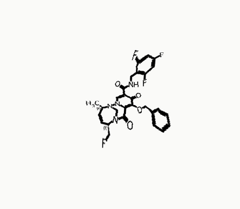 C[C@@H]1C=C[C@H](CF)N2CN1n1cc(C(=O)NCc3c(F)cc(F)cc3F)c(=O)c(OCc3ccccc3)c1C2=O